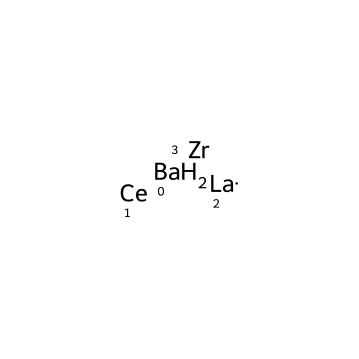 [BaH2].[Ce].[La].[Zr]